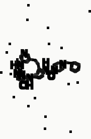 O=C(Nc1ccc2cc1CCc1cncc(c1)Nc1ncc(Cl)c(n1)N2)N1CCN(Cc2ccccc2)CC1